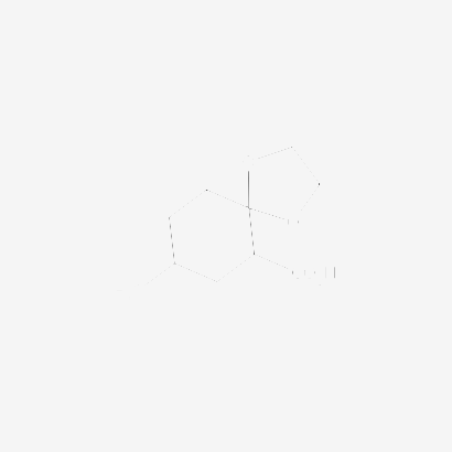 O=C(O)C1CC(C(F)(F)F)CCC12OCCO2